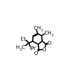 CCC(C)(C(C)C)C1C=C(C)C(C)C2C(=O)OC(=O)C21